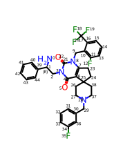 N[C@@H](Cn1c(=O)c2c(n(Cc3c(F)cccc3C(F)(F)F)c1=O)CCC21CCN(Cc2cccc(F)c2)CC1)c1ccccc1